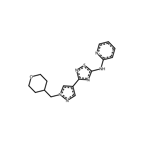 c1ccc(Nc2nc(-c3cnn(CC4CCOCC4)c3)ns2)nc1